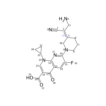 N#C/C(CN)=C1/CCCN(c2nc3c(cc2F)c(=O)c(C(=O)O)cn3C2CC2)C1